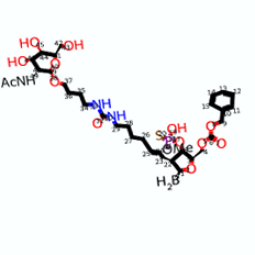 B[C@@H]1O[C@H](COC(=O)OCc2ccccc2)C(OP(O)(=S)OC)[C@@H]1C/C=C/CCCCNC(=O)NCCCCO[C@@H]1O[C@H](CO)[C@H](O)[C@H](O)[C@H]1NC(C)=O